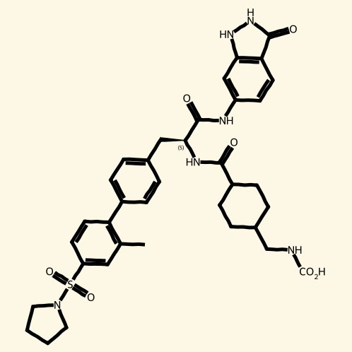 Cc1cc(S(=O)(=O)N2CCCC2)ccc1-c1ccc(C[C@H](NC(=O)C2CCC(CNC(=O)O)CC2)C(=O)Nc2ccc3c(=O)[nH][nH]c3c2)cc1